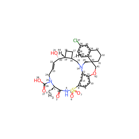 C[C@@H]1C(=O)NS(=O)(=O)c2ccc3c(c2)N(C[C@@H]2CC[C@H]2[C@@H](O)/C=C/CN1C(=O)O)C[C@@]1(CCCc2cc(Cl)ccc21)CO3